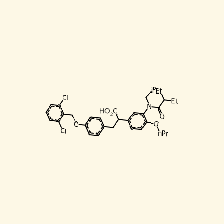 CCCOc1ccc(C(Cc2ccc(OCc3c(Cl)cccc3Cl)cc2)C(=O)O)cc1N(CC(C)C)C(=O)C(CC)CC